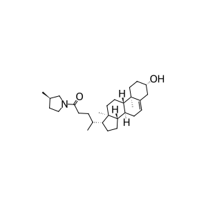 CC(CCC(=O)N1CC[C@@H](C)C1)[C@H]1CC[C@H]2[C@@H]3CC=C4C[C@@H](O)CC[C@]4(C)[C@H]3CC[C@]12C